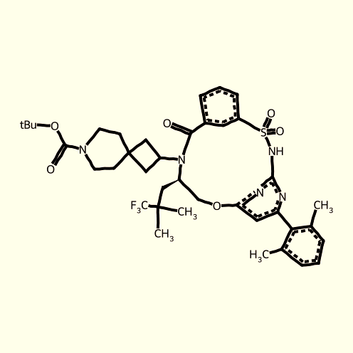 Cc1cccc(C)c1-c1cc2nc(n1)NS(=O)(=O)c1cccc(c1)C(=O)N(C1CC3(CCN(C(=O)OC(C)(C)C)CC3)C1)[C@H](CC(C)(C)C(F)(F)F)CO2